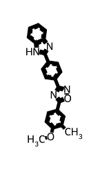 COc1ccc(-c2nc(-c3ccc(-c4nc5ccccc5[nH]4)cc3)no2)cc1C